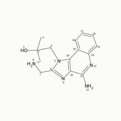 CC(C)(O)Cn1c(CN)nc2c(N)nc3ccccc3c21